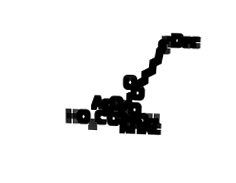 CCCCCCCCCCCCCCCCCC(=O)OC[C@H]1O[C@H](O)[C@H](NC(C)=O)[C@@H](OC(C)C(=O)O)[C@@H]1OC(C)=O